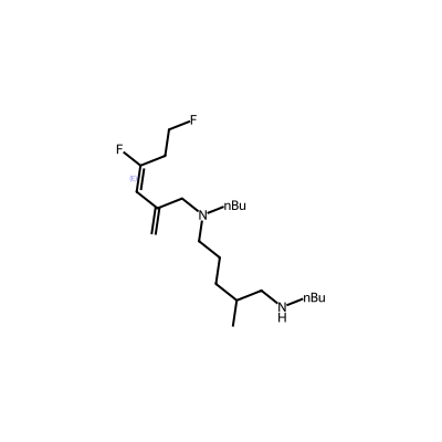 C=C(/C=C(/F)CCF)CN(CCCC)CCCC(C)CNCCCC